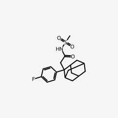 CS(=O)(=O)NC(=O)CC1(c2ccc(F)cc2)C2CC3CC(C2)CC1C3